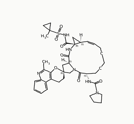 Cc1nc2ccccc2c2c1O[C@]1(CC2)C[C@H]2C(=O)N[C@]3(C(=O)NS(=O)(=O)C4(C)CC4)C[C@H]3C=CCCCCC[C@H](NC(=O)N3CCCC3)C(=O)N2C1